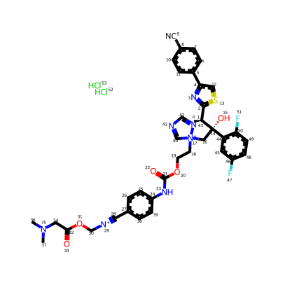 C[C@@H](c1nc(-c2ccc(C#N)cc2)cs1)[C@](O)(C[N+]1(CCOC(=O)Nc2ccc(C#[N+]COC(=O)CN(C)C)cc2)C=NC=N1)c1cc(F)ccc1F.Cl.Cl